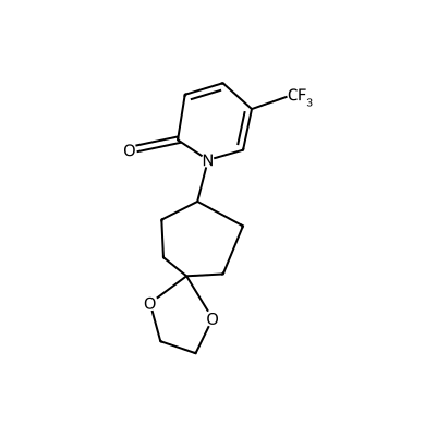 O=c1ccc(C(F)(F)F)cn1C1CCC2(CC1)OCCO2